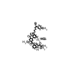 COc1cc(C(=O)N(C)c2ccc(C)cc2OCCCCC(=C=O)N2CCN(C)CC2)ccc1C(=O)Nc1cccc2[nH]c(C(=O)N(C)C)nc12.Cl.Cl